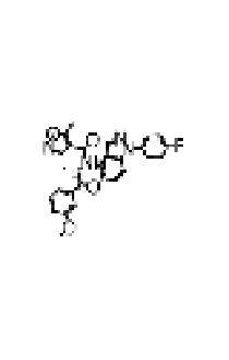 COc1cccc([C@@H](Oc2ccc3c(cnn3-c3ccc(F)cc3)c2)[C@H](C)NC(=O)c2cnoc2C)c1